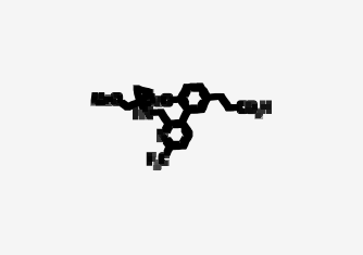 COCC1(NCc2nc(C(F)(F)F)ccc2-c2cc(CCC(=O)O)ccc2OC)CC1